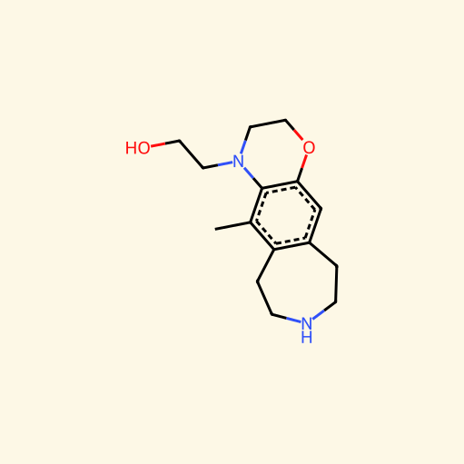 Cc1c2c(cc3c1N(CCO)CCO3)CCNCC2